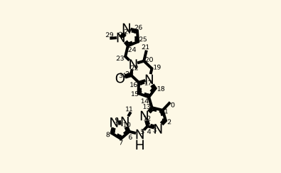 Cc1cnc(Nc2ccnn2C)nc1-c1cc2n(c1)CC(C)N(Cc1ccnn1C)C2=O